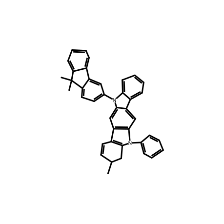 CC1C=Cc2c(n(-c3ccccc3)c3cc4c5ccccc5n(-c5ccc6c(c5)-c5ccccc5C6(C)C)c4cc23)C1